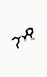 CCCC(CC)OC(=O)c1ccccc1O